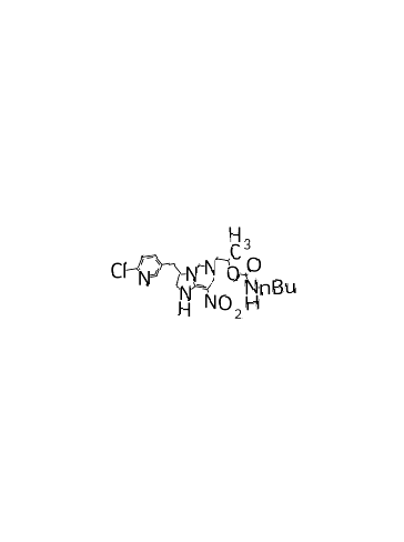 CCCCNC(=O)OC(C)CN1CC([N+](=O)[O-])=C2NCC(Cc3ccc(Cl)nc3)N2C1